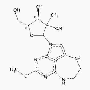 COc1nc2c3c(cn(C4O[C@H](CO)[C@@H](O)C4(C)O)c3n1)NCCN2